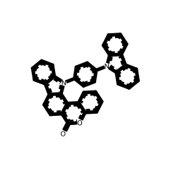 O=c1oc2ccccc2c2c1ccc1c3ccccc3n(-c3ccc(-n4c5ccccc5c5ccccc54)cc3)c12